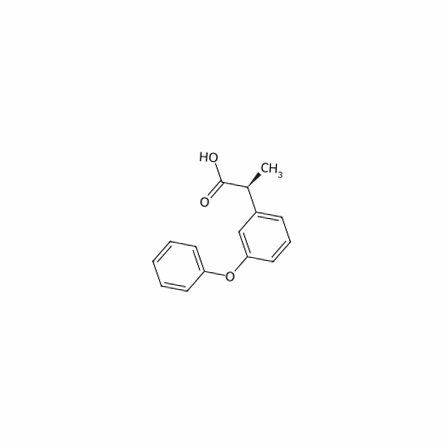 C[C@H](C(=O)O)c1cccc(Oc2ccccc2)c1